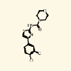 O=C(Nc1nc(-c2ccc(Cl)c(Cl)c2)cs1)N1CCOCC1